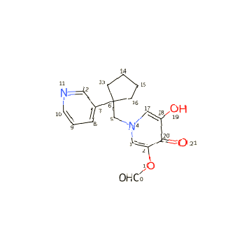 O=COc1cn(CC2(c3cccnc3)CCCC2)cc(O)c1=O